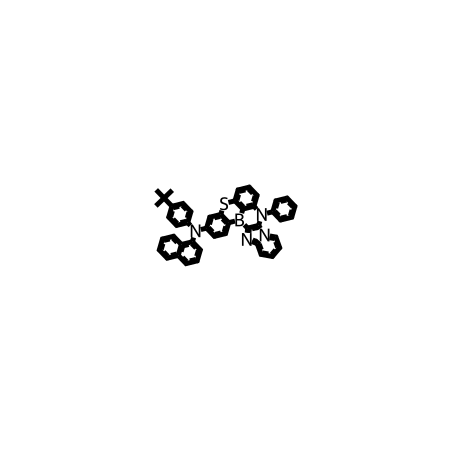 CC(C)(C)c1ccc(N(c2ccc3c(c2)Sc2cccc4c2B3c2nc3ccccn3c2N4c2ccccc2)c2cccc3ccccc23)cc1